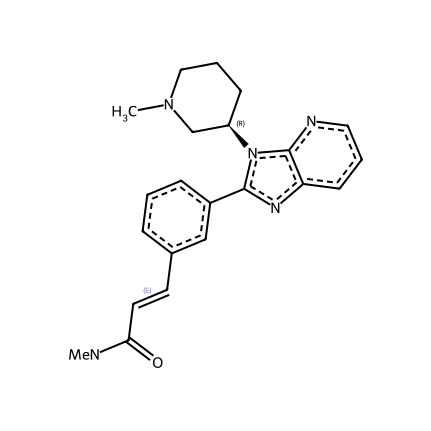 CNC(=O)/C=C/c1cccc(-c2nc3cccnc3n2[C@@H]2CCCN(C)C2)c1